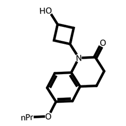 CCCOc1ccc2c(c1)CCC(=O)N2C1CC(O)C1